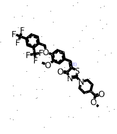 COC(=O)C1CCN(C2=NC(=O)/C(=C\c3ccc(OCc4ccc(C(F)(F)F)cc4C(F)(F)F)c(OC)c3)S2)CC1